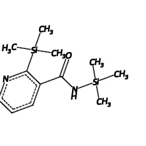 C[Si](C)(C)NC(=O)c1cccnc1[Si](C)(C)C